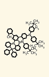 Cc1ccccc1-c1cc2c3c(c1)N1c4ccccc4C(c4ccccc4)(c4ccccc4)c4cccc(c41)B3N(c1ccc(C(C)(C)C)cc1)c1cc(N(c3ccc(C(C)(C)C)cc3)c3ccc(C(C)(C)C)cc3)ccc1-2